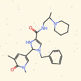 Cc1cc(C2NC(C(=O)NCC(C)N3CCCCC3)=CN2Cc2ccccc2)cn(C)c1=O